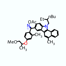 CCCCC(CC)Cn1c2ccc(/C(=N\OC(C)=O)c3ccc(OC(C)COC)cc3C)cc2c2cc(C)c3ccccc3c21